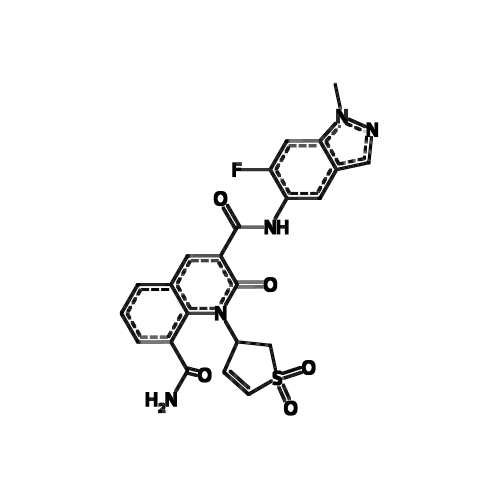 Cn1ncc2cc(NC(=O)c3cc4cccc(C(N)=O)c4n(C4C=CS(=O)(=O)C4)c3=O)c(F)cc21